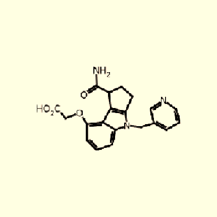 NC(=O)C1CCc2c1c1c(OCC(=O)O)cccc1n2Cc1cccnc1